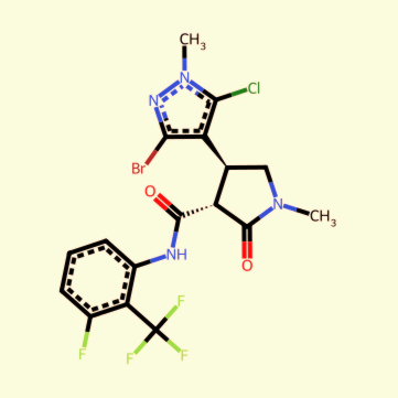 CN1C[C@H](c2c(Br)nn(C)c2Cl)[C@@H](C(=O)Nc2cccc(F)c2C(F)(F)F)C1=O